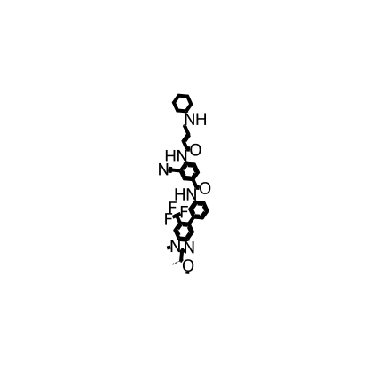 CO[C@H](C)c1nc2cc(-c3cccc(NC(=O)c4ccc(NC(=O)/C=C/CNC5CCCCC5)c(C#N)c4)c3)c(C(F)(F)F)cc2n1C